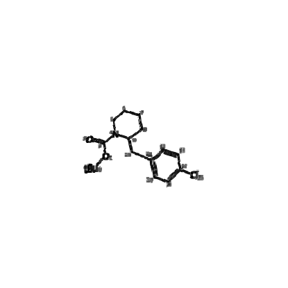 CC(C)(C)OC(=O)N1CCCCC1Cc1ccc(Cl)cc1